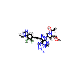 C=CC(=O)N1CC(n2nc(C#Cc3cc4ncn(CC)c4c(F)c3F)c3c(N)ncnc32)C[C@@H]1COC